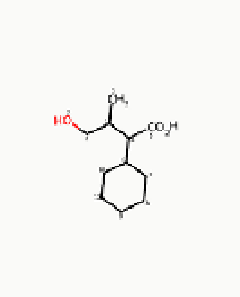 CC(CO)C(C(=O)O)C1CCCCC1